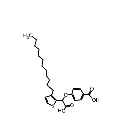 CCCCCCCCCCCCc1ccsc1C(Oc1ccc(C(=O)O)cc1)C(=O)O